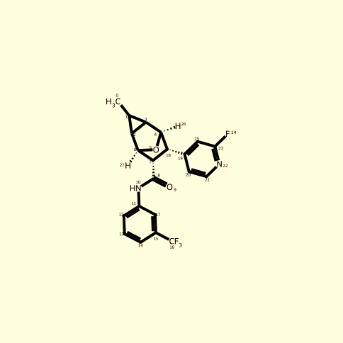 CC1C2C1[C@@H]1O[C@H]2[C@@H](C(=O)Nc2cccc(C(F)(F)F)c2)[C@H]1c1ccnc(F)c1